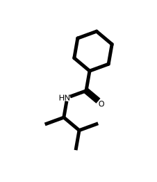 CC(C)C(C)NC(=O)C1CCCCC1